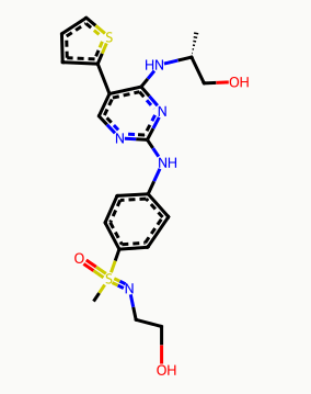 C[C@H](CO)Nc1nc(Nc2ccc(S(C)(=O)=NCCO)cc2)ncc1-c1cccs1